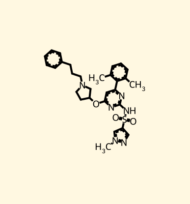 Cc1cccc(C)c1-c1cc(OC2CCN(CCCc3ccccc3)C2)nc(NS(=O)(=O)c2cnn(C)c2)n1